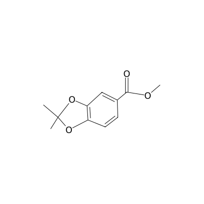 COC(=O)c1ccc2c(c1)OC(C)(C)O2